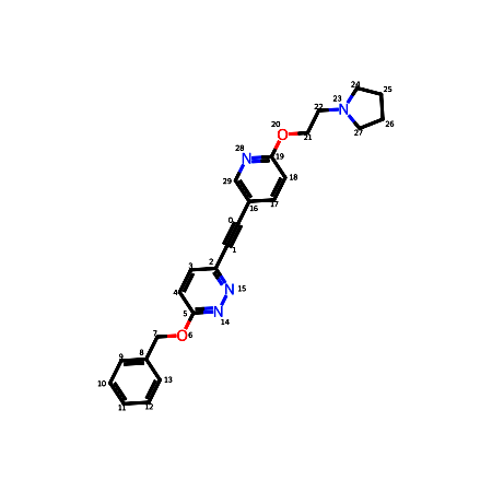 C(#Cc1ccc(OCc2ccccc2)nn1)c1ccc(OCCN2CCCC2)nc1